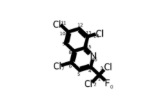 FC(Cl)(Cl)c1cc(Cl)c2cc(Cl)cc(Cl)c2n1